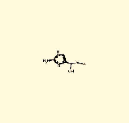 CCOC(O)c1c[nH]c(N)n1